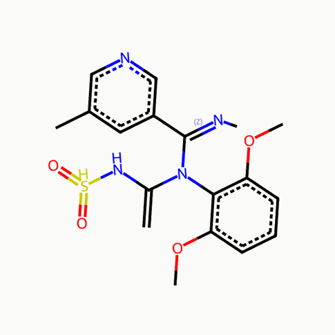 C=C(N[SH](=O)=O)N(/C(=N\C)c1cncc(C)c1)c1c(OC)cccc1OC